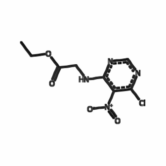 CCOC(=O)CNc1ncnc(Cl)c1[N+](=O)[O-]